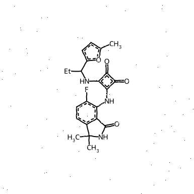 CCC(Nc1c(Nc2c(F)ccc3c2C(=O)NC3(C)C)c(=O)c1=O)c1ccc(C)o1